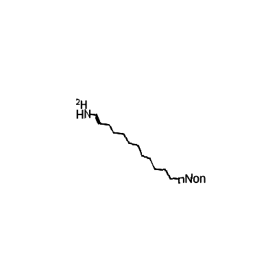 [2H]NC=CCCCCCCCCCCCCCCCCCCC